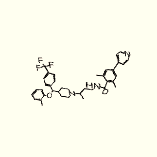 Cc1ccccc1OC(c1ccc(C(F)(F)F)cc1)C1CCN(C(C)CCNC(=O)c2c(C)cc(-c3ccncc3)cc2C)CC1